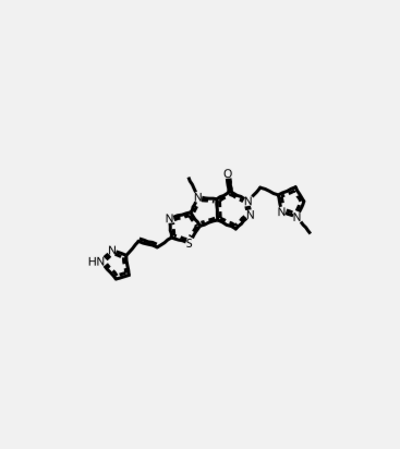 Cn1ccc(Cn2ncc3c4sc(/C=C/c5cc[nH]n5)nc4n(C)c3c2=O)n1